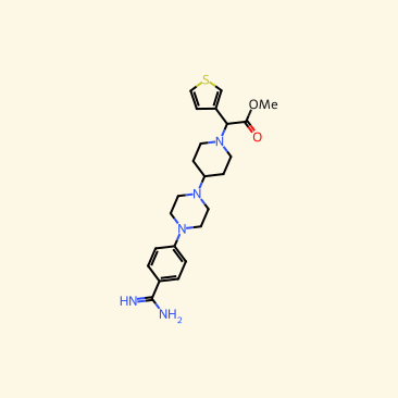 COC(=O)C(c1ccsc1)N1CCC(N2CCN(c3ccc(C(=N)N)cc3)CC2)CC1